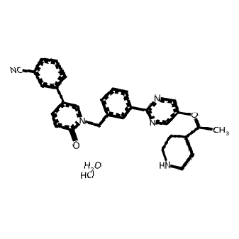 CC(Oc1cnc(-c2cccc(Cn3cc(-c4cccc(C#N)c4)ccc3=O)c2)nc1)C1CCNCC1.Cl.O